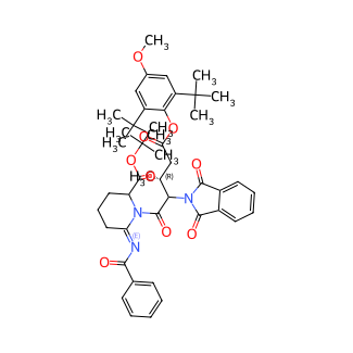 COc1cc(C(C)(C)C)c(OC(=O)C[C@@H](C)C(C(=O)N2/C(=N/C(=O)c3ccccc3)CCCC2C(=O)OC(C)(C)C)N2C(=O)c3ccccc3C2=O)c(C(C)(C)C)c1